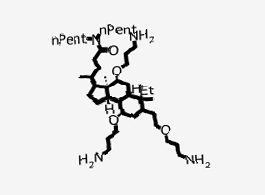 CCCCCN(CCCCC)C(=O)CCC(C)C1CC[C@H]2C3[C@H](OCCCN)CC(CCOCCCN)[C@](C)(CC)[C@H]3C[C@H](OCCCN)[C@]12C